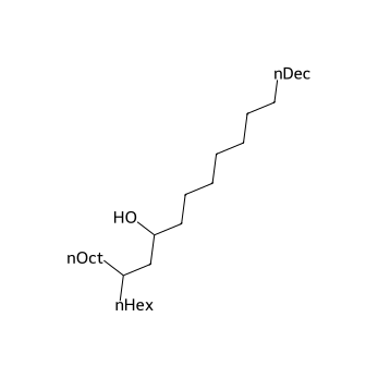 CCCCCCCCCCCCCCCCCC(O)CC(CCCCCC)CCCCCCCC